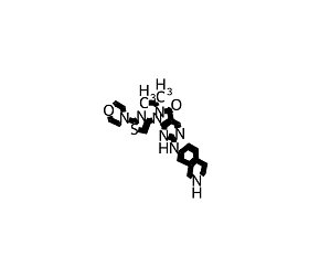 CC(C)n1c(=O)c2cnc(Nc3ccc4c(c3)CNCC4)nc2n1-c1csc(N2CCOCC2)n1